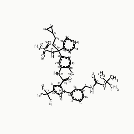 CC(C)(C)OC(=O)NCc1cccc(-n2nc(C(F)(F)F)cc2C(=O)Nc2cc(C(CCC3CC3)(NS(C)(=O)=O)c3ccncc3)ccc2F)c1